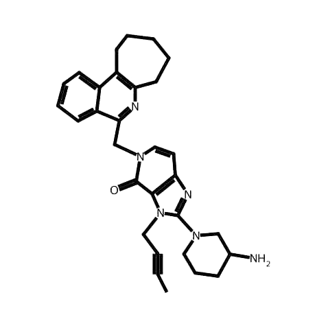 CC#CCn1c(N2CCCC(N)C2)nc2ccn(Cc3nc4c(c5ccccc35)CCCCC4)c(=O)c21